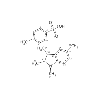 Cc1ccc(S(=O)(=O)O)cc1.Cc1ccc2c(c1)C(C)C(C)N2C